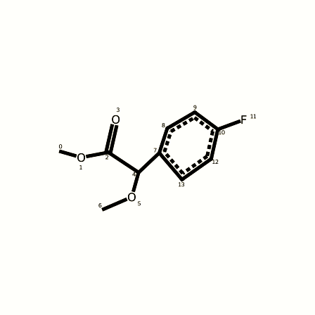 COC(=O)C(OC)c1ccc(F)cc1